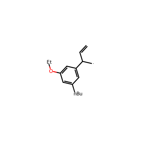 [CH2]C(C=C)c1cc(CCCC)cc(OCC)c1